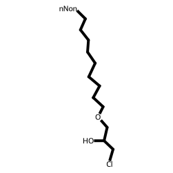 CCCCCCCCCCCCCCCCCCOCC(O)CCl